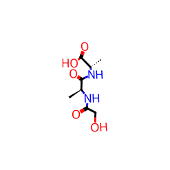 C[C@H](NC(=O)[C@H](C)NC(=O)CO)C(=O)O